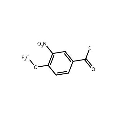 O=C(Cl)c1ccc(OC(F)(F)F)c([N+](=O)[O-])c1